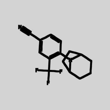 N#Cc1ccc(N2C3CCCC2CC3)c(C(F)(F)F)c1